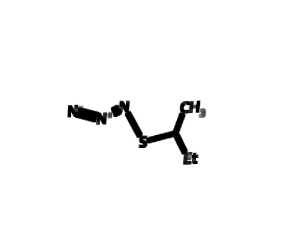 CCC(C)SN=[N+]=[N-]